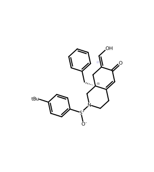 CC(C)(C)c1ccc([S+]([O-])N2CCC3=CC(=O)/C(=C\O)C[C@]3(Cc3ccccc3)C2)cc1